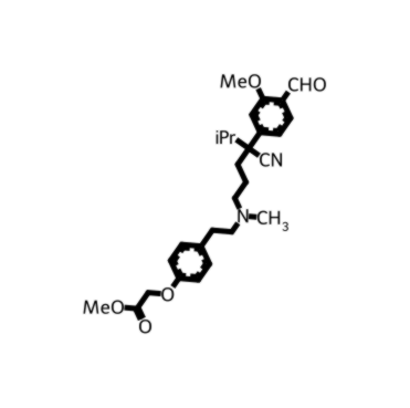 COC(=O)COc1ccc(CCN(C)CCCC(C#N)(c2ccc(C=O)c(OC)c2)C(C)C)cc1